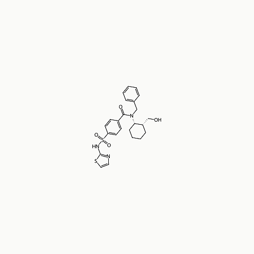 O=C(c1ccc(S(=O)(=O)Nc2nccs2)cc1)N(Cc1ccccc1)[C@H]1CCCC[C@H]1CO